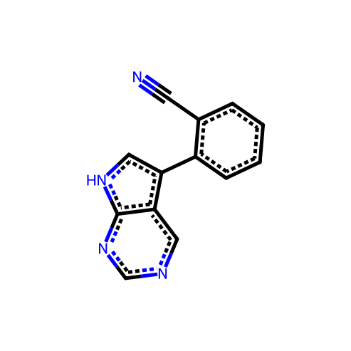 N#Cc1ccccc1-c1c[nH]c2ncncc12